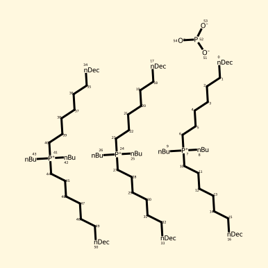 CCCCCCCCCCCCCCCC[P+](CCCC)(CCCC)CCCCCCCCCCCCCCCC.CCCCCCCCCCCCCCCC[P+](CCCC)(CCCC)CCCCCCCCCCCCCCCC.CCCCCCCCCCCCCCCC[P+](CCCC)(CCCC)CCCCCCCCCCCCCCCC.[O-]P([O-])[O-]